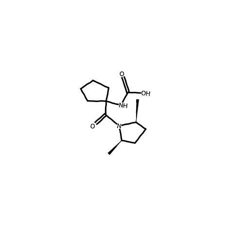 C[C@@H]1CC[C@H](C)N1C(=O)C1(NC(=O)O)CCCC1